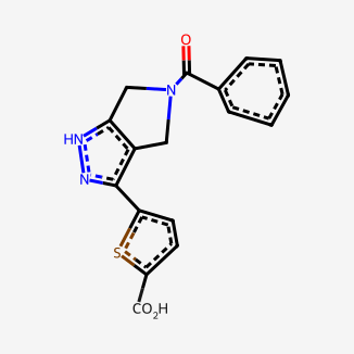 O=C(O)c1ccc(-c2n[nH]c3c2CN(C(=O)c2ccccc2)C3)s1